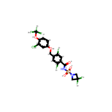 O=C(NS(=O)(=O)N1CC(F)(F)C1)c1cc(F)c(COc2ccc(OC(F)(F)F)c(Cl)c2)cc1F